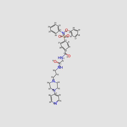 O=C(CNC(=O)c1ccc(S(=O)(=O)N(Oc2ccccc2)c2ccccc2)cc1)NCCCN1CCN(c2ccncc2)CC1